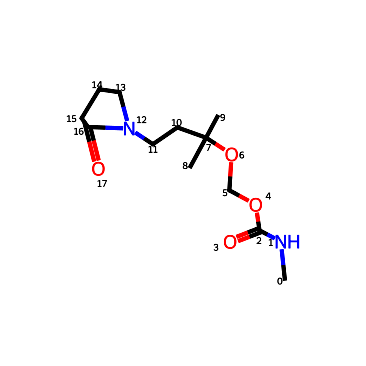 CNC(=O)OCOC(C)(C)CCN1CCCC1=O